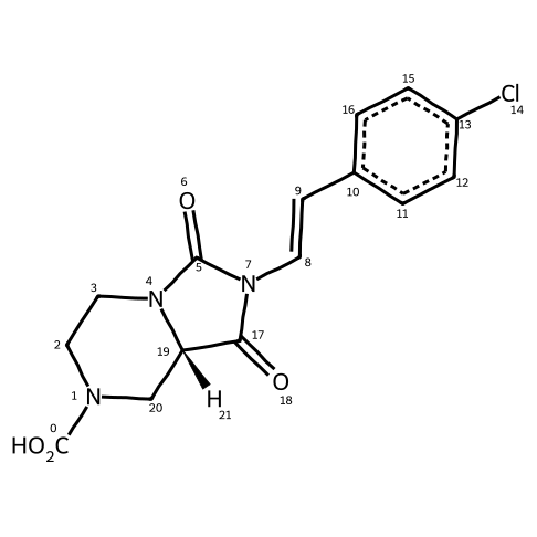 O=C(O)N1CCN2C(=O)N(/C=C/c3ccc(Cl)cc3)C(=O)[C@@H]2C1